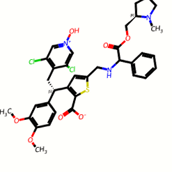 COc1ccc([C@H](Cc2c(Cl)c[n+](O)cc2Cl)c2cc(CNC(C(=O)OC[C@H]3CCCN3C)c3ccccc3)sc2C(=O)[O-])cc1OC